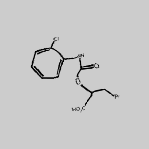 CC(C)CC(OC(=O)Nc1ccccc1Cl)C(=O)O